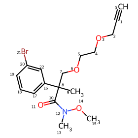 C#CCOCCOCC(C)(C(=O)N(C)OC)c1cccc(Br)c1